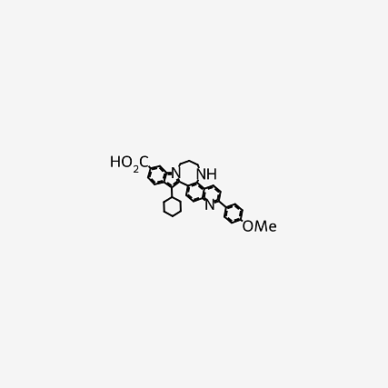 COc1ccc(-c2ccc3c4c(ccc3n2)-c2c(C3CCCCC3)c3ccc(C(=O)O)cc3n2CCCN4)cc1